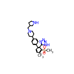 CS(=O)(=O)c1c(C(F)(F)F)ccc(-c2ccc(C3CCN(CC4CCNC4)CC3)cc2)c1-c1nnn[nH]1